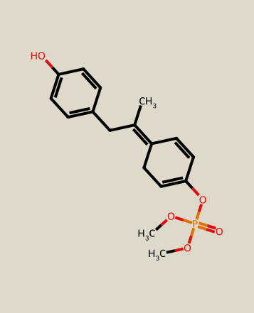 COP(=O)(OC)OC1=CCC(=C(C)Cc2ccc(O)cc2)C=C1